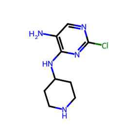 Nc1cnc(Cl)nc1NC1CCNCC1